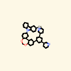 N#Cc1ccc2c(c1)c1ccccc1n2-c1ccc2c(c1)-c1cc(-c3cc(-c4cccnc4)cc(-c4cccnc4)c3)ccc1OCO2